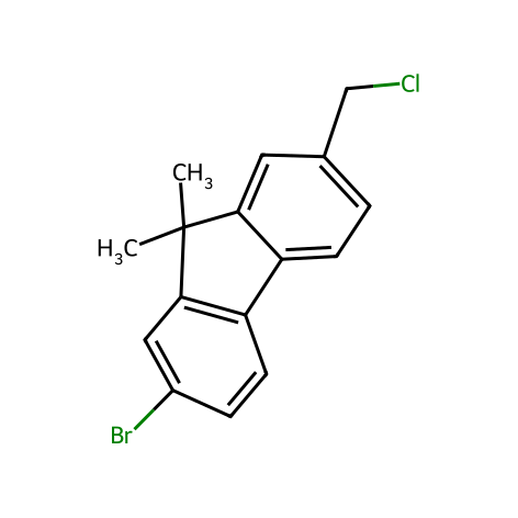 CC1(C)c2cc(Br)ccc2-c2ccc(CCl)cc21